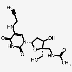 C#CCNc1cn([C@@H]2CC(O)[C@@](CO)(CNC(C)=O)O2)c(=O)[nH]c1=O